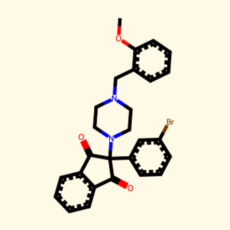 COc1ccccc1CN1CCN(C2(c3cccc(Br)c3)C(=O)c3ccccc3C2=O)CC1